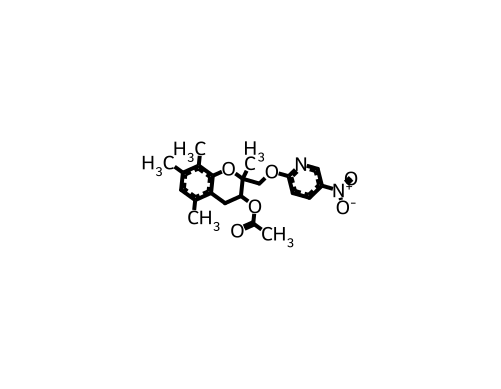 CC(=O)OC1Cc2c(C)cc(C)c(C)c2OC1(C)COc1ccc([N+](=O)[O-])cn1